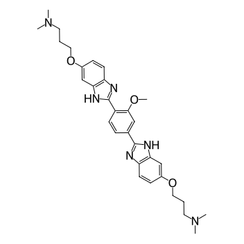 COc1cc(-c2nc3ccc(OCCCN(C)C)cc3[nH]2)ccc1-c1nc2ccc(OCCCN(C)C)cc2[nH]1